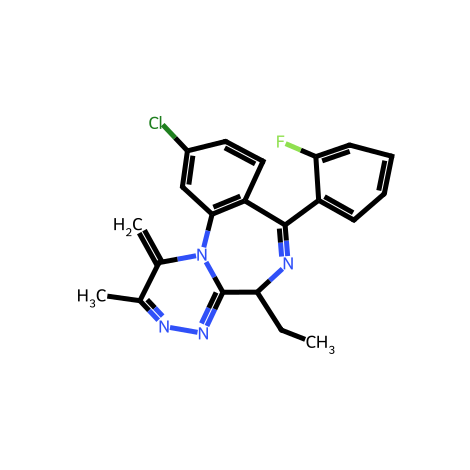 C=C1C(C)=NN=C2C(CC)N=C(c3ccccc3F)c3ccc(Cl)cc3N12